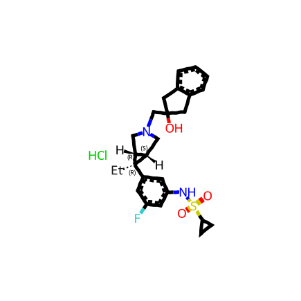 CC[C@]1(c2cc(F)cc(NS(=O)(=O)C3CC3)c2)[C@@H]2CN(CC3(O)Cc4ccccc4C3)C[C@@H]21.Cl